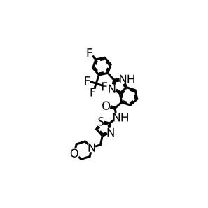 O=C(Nc1nc(CN2CCOCC2)cs1)c1cccc2[nH]c(-c3ccc(F)cc3C(F)(F)F)nc12